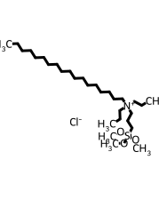 CCCCCCCCCCCCCCCCCC[N+](CCC)(CCC)CCC[Si](OC)(OC)OC.[Cl-]